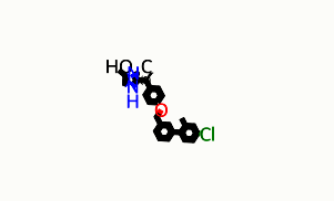 Cc1c[nH]c([C@@H](CC(=O)O)c2ccc(OCc3cccc(-c4ccc(Cl)cc4C)c3)cc2)n1